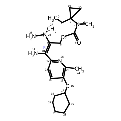 CCC1(N(C)C(=O)OC/C(=C(/N)c2ccc(OC3CCCCC3)c(C)n2)N(C)N)CC1